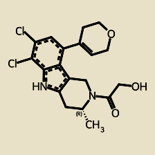 C[C@@H]1Cc2[nH]c3c(Cl)c(Cl)cc(C4=CCOCC4)c3c2CN1C(=O)CO